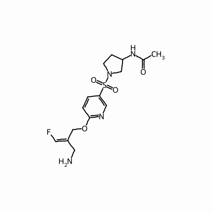 CC(=O)NC1CCN(S(=O)(=O)c2ccc(OC/C(=C\F)CN)nc2)C1